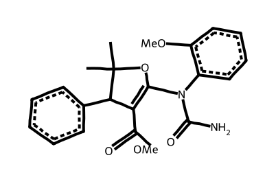 COC(=O)C1=C(N(C(N)=O)c2ccccc2OC)OC(C)(C)C1c1ccccc1